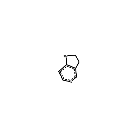 c1cc2c(cn1)CCN2